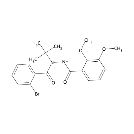 COc1cccc(C(=O)NN(C(=O)c2ccccc2Br)C(C)(C)C)c1OC